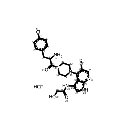 Cl.NC(Cc1ccc(Cl)cc1)C(=O)N1CCN(c2c(Br)cnc3[nH]cc(NC(=O)CO)c23)CC1